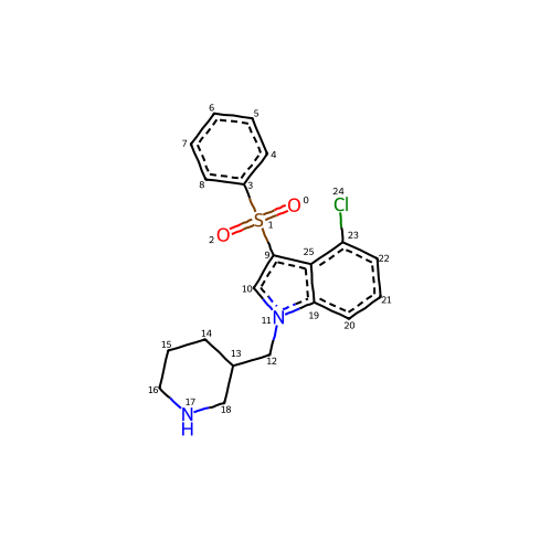 O=S(=O)(c1ccccc1)c1cn(CC2CCCNC2)c2cccc(Cl)c12